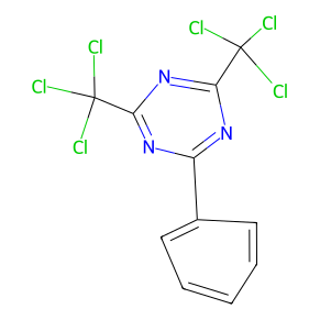 ClC(Cl)(Cl)c1nc(-c2ccccc2)nc(C(Cl)(Cl)Cl)n1